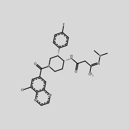 CN(C)/N=C(\CC(=O)N[C@@H]1CCN(C(=O)c2cc(Cl)c3nccnc3c2)C[C@@H]1c1ccc(F)cc1)C(F)(F)F